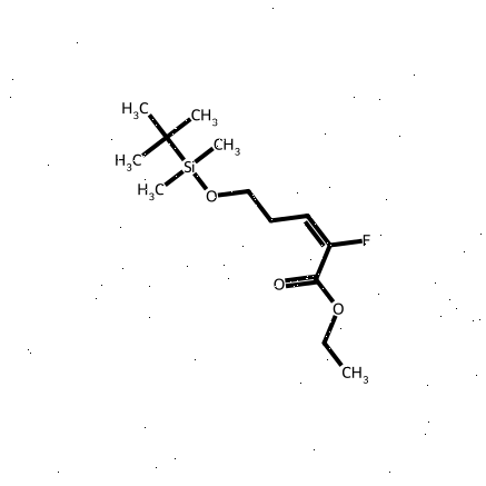 CCOC(=O)/C(F)=C\CCO[Si](C)(C)C(C)(C)C